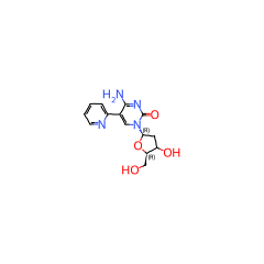 Nc1nc(=O)n([C@H]2CC(O)[C@@H](CO)O2)cc1-c1ccccn1